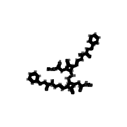 COC(=O)CN1C(=O)C(C=CCNC(=O)COc2ccccc2)C1SSC1C(C=CCNC(=O)COc2ccccc2)C(=O)N1CC(=O)OC